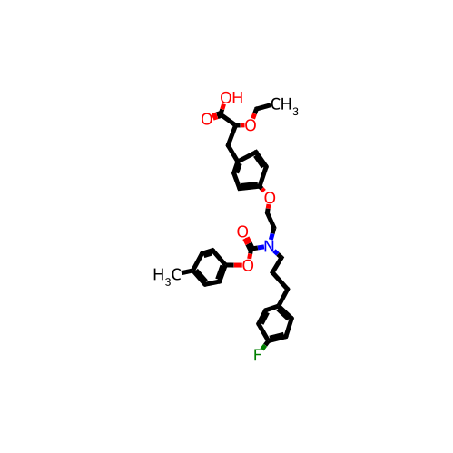 CCOC(Cc1ccc(OCCN(CCCc2ccc(F)cc2)C(=O)Oc2ccc(C)cc2)cc1)C(=O)O